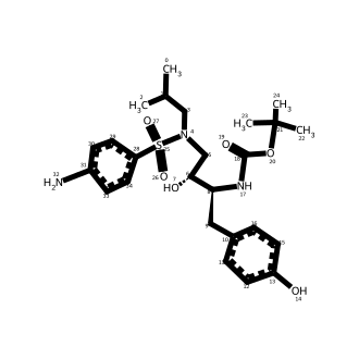 CC(C)CN(C[C@@H](O)[C@H](Cc1ccc(O)cc1)NC(=O)OC(C)(C)C)S(=O)(=O)c1ccc(N)cc1